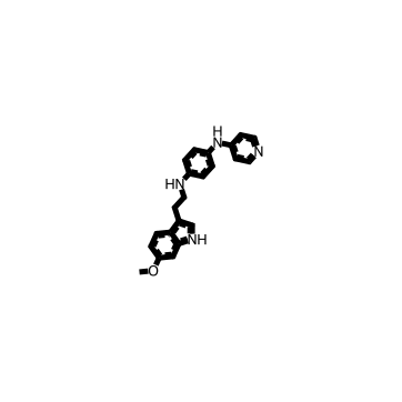 COc1ccc2c(CCNc3ccc(Nc4ccncc4)cc3)c[nH]c2c1